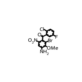 COc1c(N)cc([N+](=O)[O-])c(C(=O)c2cc(F)ccc2Cl)c1Br